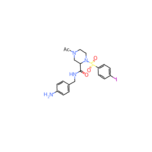 CC(=O)N1CCN(S(=O)(=O)c2ccc(I)cc2)C(C(=O)NCc2ccc(N)cc2)C1